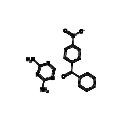 Nc1ncnc(N)n1.O=C(c1ccccc1)c1ccc([N+](=O)[O-])cc1